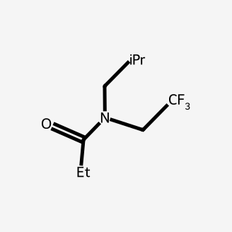 CCC(=O)N(CC(C)C)CC(F)(F)F